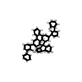 Sc1c(-c2ccccc2)cccc1-c1cc2c3c4c(c5ccccc5c3c1)C=C(c1cccc3c1sc1ccccc13)CC4C21c2ccccc2-c2ccccc21